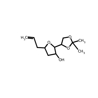 C=CCC1CC(O)C(C2COC(C)(C)O2)O1